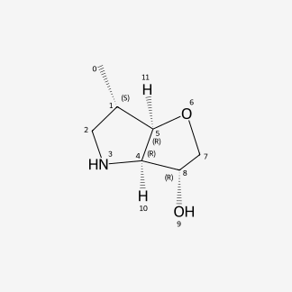 C[C@H]1CN[C@H]2[C@@H]1OC[C@@H]2O